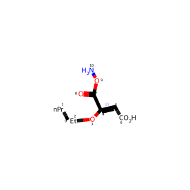 CCCC.CCO/C(=C\C(=O)O)C(=O)ON